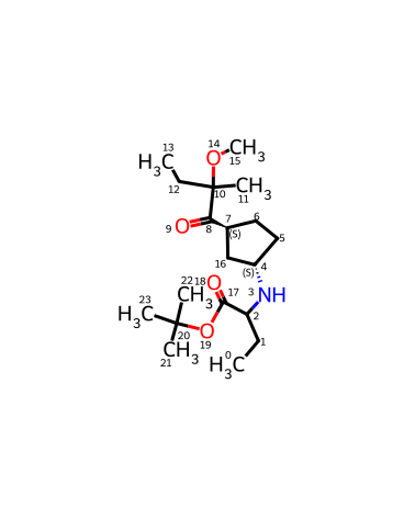 CCC(N[C@H]1CC[C@H](C(=O)C(C)(CC)OC)C1)C(=O)OC(C)(C)C